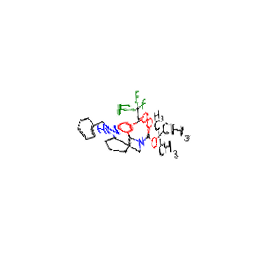 CC(C)(C)OC(=O)N1CC2(CCCC2NCc2ccccc2)C1OC(=O)C(F)(F)F